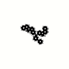 CC1(C)c2cc(N(c3cccc(-c4ccccc4)c3)c3ccc4c5c(ccc4c3)-c3ccc4ccccc4c3C5(C)C)ccc2-c2c1ccc1ccccc21